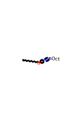 C=CCCCCCCCCCOc1ccc(N2CCN(CCCCCCCC)CC2)cc1